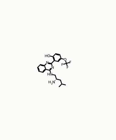 CC(C)C[C@H](N)CNc1nc(-c2cc(OC(F)(F)F)ccc2O)nc2ccccc12